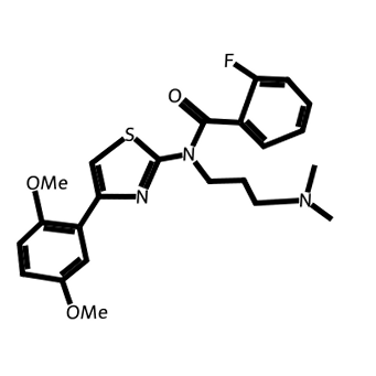 COc1ccc(OC)c(-c2csc(N(CCCN(C)C)C(=O)c3ccccc3F)n2)c1